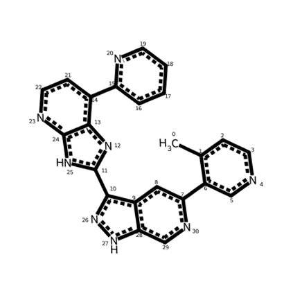 Cc1ccncc1-c1cc2c(-c3nc4c(-c5ccccn5)ccnc4[nH]3)n[nH]c2cn1